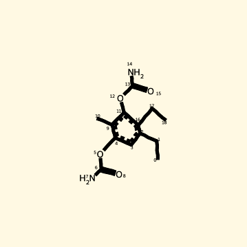 CCc1cc(OC(N)=O)c(C)c(OC(N)=O)c1CC